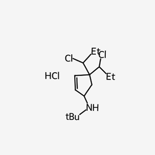 CCC(Cl)C1(C(Cl)CC)C=CC(NC(C)(C)C)C1.Cl